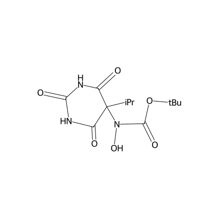 CC(C)C1(N(O)C(=O)OC(C)(C)C)C(=O)NC(=O)NC1=O